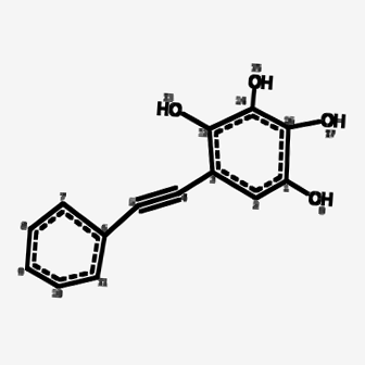 Oc1cc(C#Cc2ccccc2)c(O)c(O)c1O